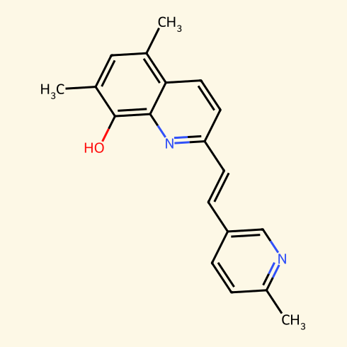 Cc1ccc(C=Cc2ccc3c(C)cc(C)c(O)c3n2)cn1